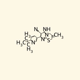 C[C@@H]1CSc2nc(-c3ccc(C(C)(C)C)nc3)c(C#N)c(=N)n2C1